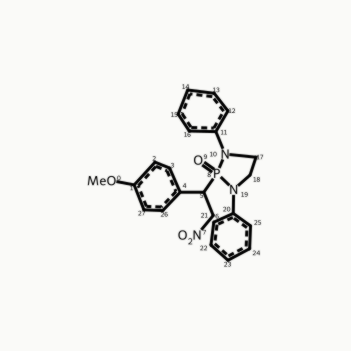 COc1ccc(C(C[N+](=O)[O-])P2(=O)N(c3ccccc3)CCN2c2ccccc2)cc1